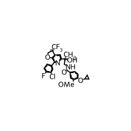 COc1cc(C(=O)NC[C@](C)(O)c2cc3c(c(-c4ccc(F)c(Cl)c4)n2)OC[C@H]3C(F)(F)F)ccc1OC1CC1